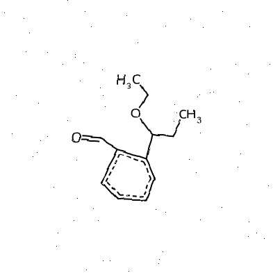 CCOC(CC)c1ccccc1C=O